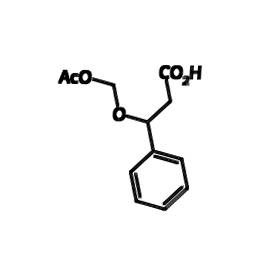 CC(=O)OCOC(CC(=O)O)c1ccccc1